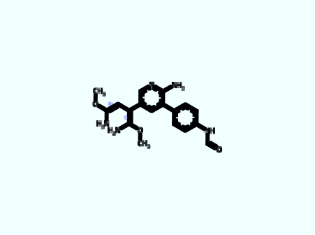 CO/C(N)=C(/C=C(\N)OC)c1cnc(N)c(-c2ccc(NC=O)cc2)c1